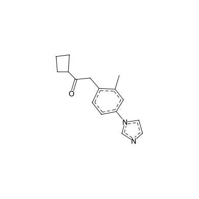 Cc1cc(-n2ccnc2)ccc1CC(=O)C1CCC1